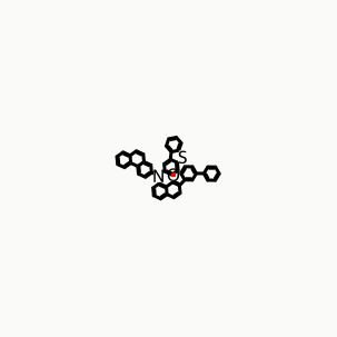 c1ccc(-c2ccc3oc4c(ccc5cccc(N(c6ccc7c(ccc8ccccc87)c6)c6ccc7sc8ccccc8c7c6)c54)c3c2)cc1